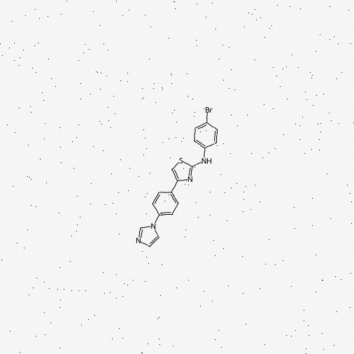 Brc1ccc(Nc2nc(-c3ccc(-n4ccnc4)cc3)cs2)cc1